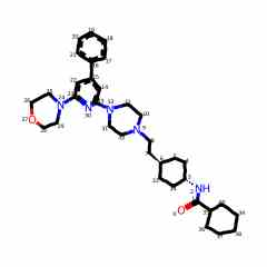 O=C(N[C@H]1CC[C@H](CCN2CCN(c3cc(-c4ccccc4)cc(N4CCOCC4)n3)CC2)CC1)C1CCCCC1